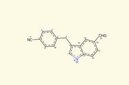 N#Cc1ccc(Cc2c[nH]c3ccc(C=O)cc23)cc1